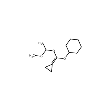 COC(C)OC(OC1CCCCC1)=C1CC1